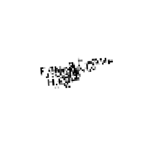 COc1ccc(CNc2nc3ccc(C(=O)N(C)C4COCc5nc(C(F)(F)F)ccc54)cc3n3cncc23)cc1